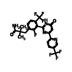 CC(C)(Cc1ccc(C(F)(F)F)c(-c2nc(-c3ccc(C(F)(F)F)cn3)cc(=O)[nH]2)c1F)C(N)=O